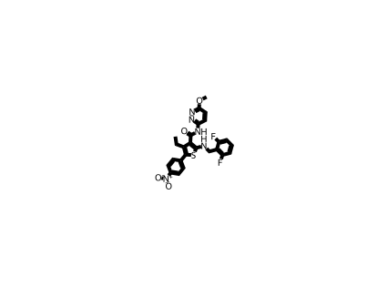 CCc1c(-c2ccc([N+](=O)[O-])cc2)sc(NCc2c(F)cccc2F)c1C(=O)Nc1ccc(OC)nn1